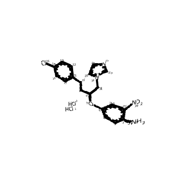 Cl.Cl.Nc1ccc(OC(CCc2ccc(Cl)cc2)Cn2ccnc2)cc1[N+](=O)[O-]